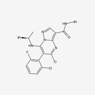 CC(C)NC(=O)c1cnn2c(N[C@H](C)C(C)C)c(-c3c(F)cccc3Cl)c(Cl)nc12